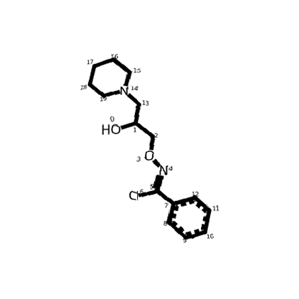 OC(CON=C(Cl)c1ccccc1)CN1CCCCC1